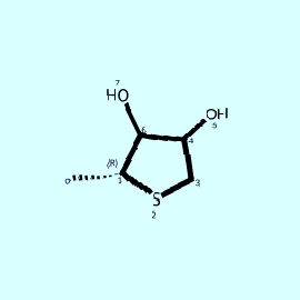 C[C@H]1SCC(O)C1O